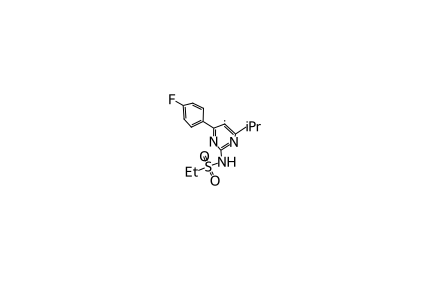 CCS(=O)(=O)Nc1nc(-c2ccc(F)cc2)[c]c(C(C)C)n1